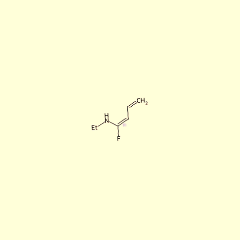 C=C/C=C(/F)NCC